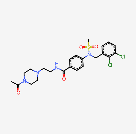 CC(=O)N1CCN(CCNC(=O)c2ccc(N(Cc3cccc(Cl)c3Cl)S(C)(=O)=O)cc2)CC1